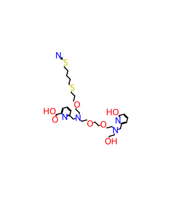 N#CSCCCCCSCCCOCCN(CCOCCOCCN(CCO)Cc1cccc(O)n1)Cc1cccc(C(=O)O)n1